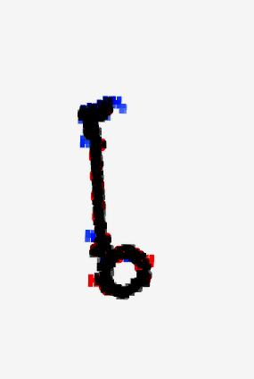 CO[C@H]1C[C@@H]2CC[C@@H](C)[C@@](O)(O2)C(=O)C(=O)N2CCCC[C@H]2C(=O)O[C@H]([C@H](C)C[C@@H]2CC[C@@H](OC(=O)NCCOCCOCCOCCOCCOCCOCCOCCOCCC(=O)NCc3ccc(Cn4nc(-c5ccc6oc(N)nc6c5)c5c(N)ncnc54)cc3)[C@H](OC)C2)C[C@H](N=[N+]=[N-])[C@H](C)/C=C(\C)[C@@H](O)[C@@H](OC)C(=O)[C@H](C)C[C@H](C)/C=C/C=C/C=C/1C